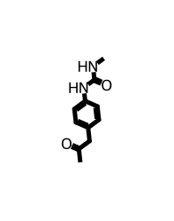 CNC(=O)Nc1ccc(CC(C)=O)cc1